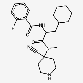 CN(C(=O)C(CC1CCCCC1)NC(=O)c1ccccc1F)C1(C#N)CCNCC1